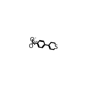 O=[N+]([O-])c1ccc(C2=CCSCC2)cc1